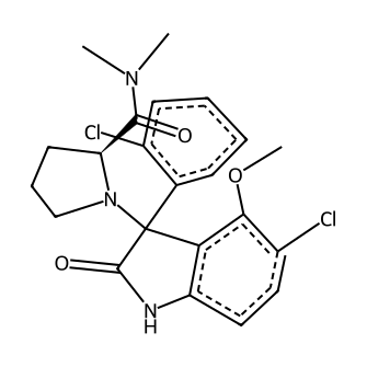 COc1c(Cl)ccc2c1C(c1ccccc1Cl)(N1CCC[C@H]1C(=O)N(C)C)C(=O)N2